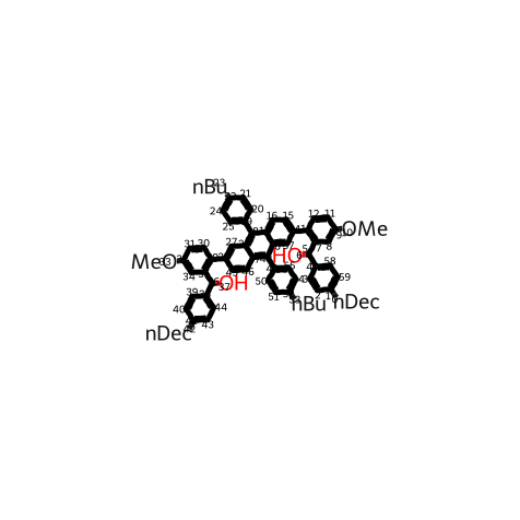 CCCCCCCCCCc1ccc(C(O)c2cc(OC)ccc2-c2ccc3c(-c4ccc(CCCC)cc4)c4cc(-c5ccc(OC)cc5C(O)c5ccc(CCCCCCCCCC)cc5)ccc4c(-c4ccc(CCCC)cc4)c3c2)cc1